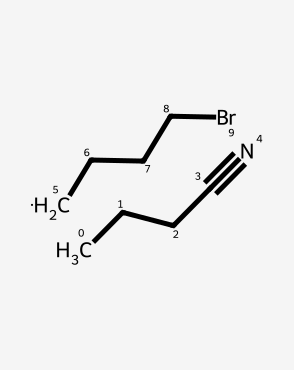 CCCC#N.[CH2]CCCBr